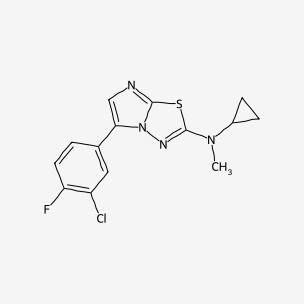 CN(c1nn2c(-c3ccc(F)c(Cl)c3)cnc2s1)C1CC1